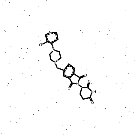 O=C1CCC(N2C(=O)c3ccc(CN4CCN(c5ccncc5Cl)CC4)cc3C2=O)C(=O)N1